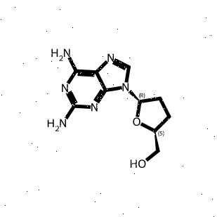 Nc1nc(N)c2ncn([C@H]3CC[C@@H](CO)O3)c2n1